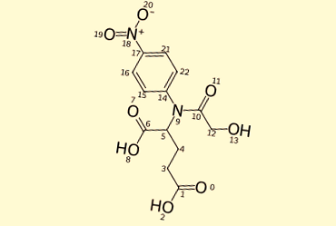 O=C(O)CCC(C(=O)O)N(C(=O)CO)c1ccc([N+](=O)[O-])cc1